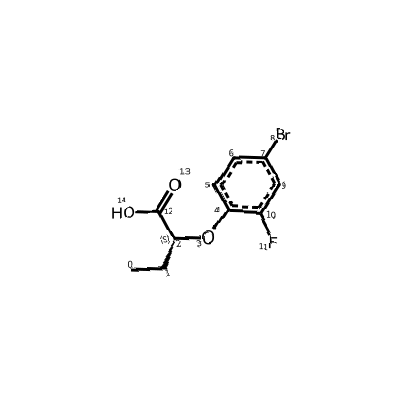 CC[C@H](Oc1ccc(Br)cc1F)C(=O)O